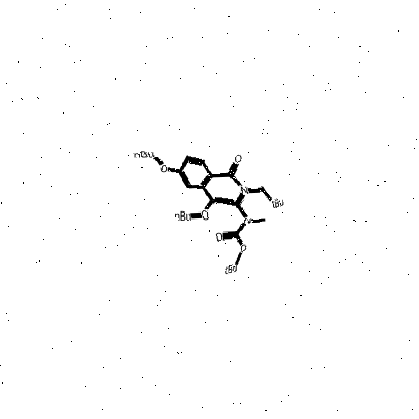 CCCCOc1ccc2c(=O)n(CC(C)(C)C)c(N(C)C(=O)OC(C)(C)C)c(OCCCC)c2c1